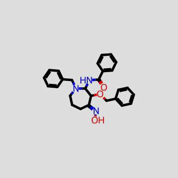 O=C(NC1C(OCc2ccccc2)C(=NO)CCCN1Cc1ccccc1)c1ccccc1